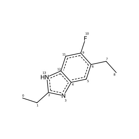 CCc1nc2cc(CC)c(F)cc2[nH]1